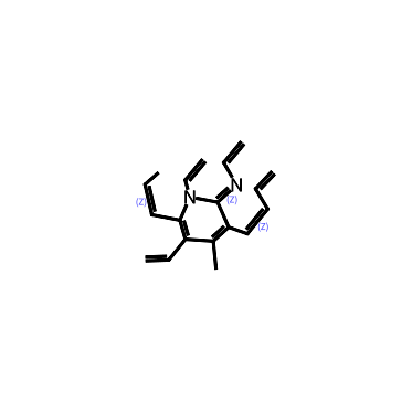 C=C/C=C\c1c(C)c(C=C)c(/C=C\C)n(C=C)/c1=N\C=C